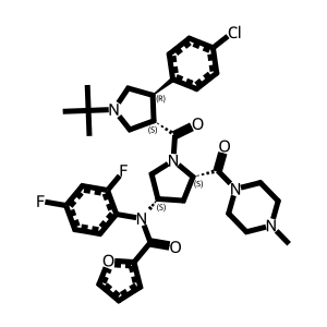 CN1CCN(C(=O)[C@@H]2C[C@H](N(C(=O)c3ccco3)c3ccc(F)cc3F)CN2C(=O)[C@@H]2CN(C(C)(C)C)C[C@H]2c2ccc(Cl)cc2)CC1